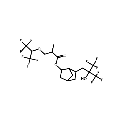 CC(COC(C(F)(F)F)C(F)(F)F)C(=O)OC1CC2CC(CC(O)(C(F)(F)F)C(F)(F)F)C1C2